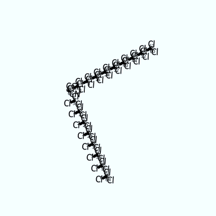 ClC(Cl)Cl.ClC(Cl)Cl.ClC(Cl)Cl.ClC(Cl)Cl.ClC(Cl)Cl.ClC(Cl)Cl.ClC(Cl)Cl.ClC(Cl)Cl.ClC(Cl)Cl.ClC(Cl)Cl.ClC(Cl)Cl.ClC(Cl)Cl.ClC(Cl)Cl.ClC(Cl)Cl.ClC(Cl)Cl.ClC(Cl)Cl.ClC(Cl)Cl.N#CCC(Cl)(Cl)Cl